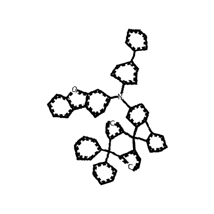 c1ccc(-c2ccc(N(c3ccc4c(c3)C3(c5ccccc5-4)c4ccccc4C(c4ccccc4)(c4ccccc4)c4ccccc43)c3ccc4c(c3)oc3ccccc34)cc2)cc1